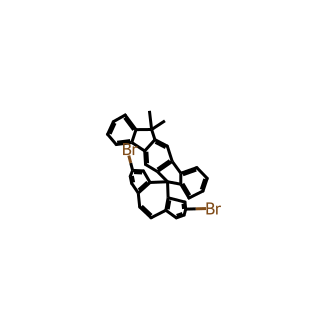 CC1(C)c2ccccc2-c2cc3c(cc21)-c1ccccc1C31c2cc(Br)ccc2C=Cc2ccc(Br)cc21